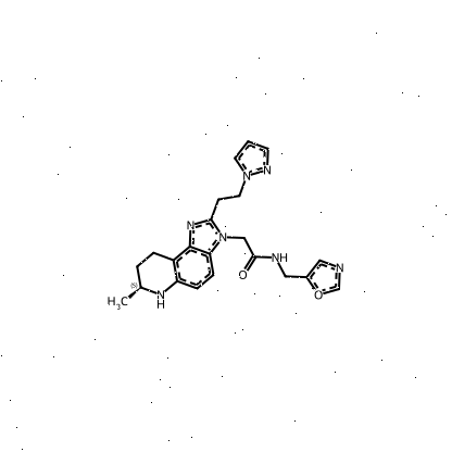 C[C@H]1CCc2c(ccc3c2nc(CCn2cccn2)n3CC(=O)NCc2cnco2)N1